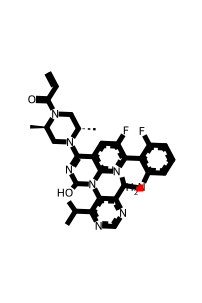 C=CC(=O)N1C[C@H](C)N(C2=NC(O)N(c3c(C(C)C)ncnc3C(C)C)c3nc(-c4c(N)cccc4F)c(F)cc32)C[C@H]1C